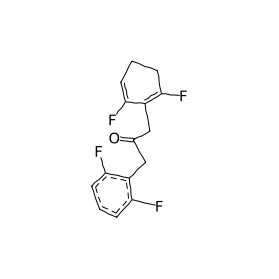 O=C(CC1=C(F)CCC=C1F)Cc1c(F)cccc1F